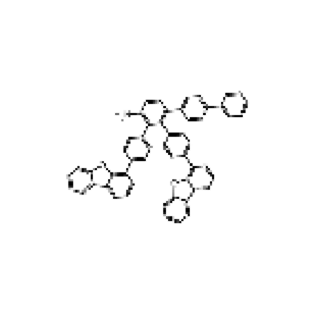 Nc1ccc(-c2ccc(-c3ccccc3)cc2)c(-c2ccc(-c3cccc4c3oc3ccccc34)cc2)c1-c1ccc(-c2cccc3c2oc2ccccc23)cc1